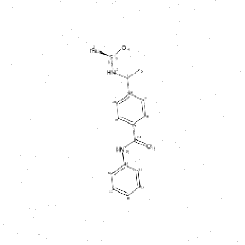 CC(N[S@+]([O-])C(C)(C)C)c1ccc(C(=O)Nc2ccccc2)cc1